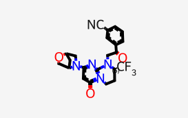 N#Cc1cccc(C(=O)CN2c3nc(N4CC5CC4CO5)cc(=O)n3CC[C@H]2C(F)(F)F)c1